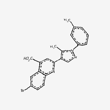 Cc1cccc(-n2ncc(-c3cc(C(=O)O)c4cc(Br)ccc4n3)c2C)c1